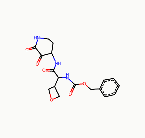 O=C(NC(C(=O)NC1CCNC(=O)C1=O)C1COC1)OCc1ccccc1